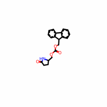 O=C1CCC(COC(=O)OCC2c3ccccc3-c3ccccc32)N1